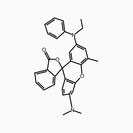 CCN(c1ccccc1)c1cc(C)c2c(c1)C1(OC(=O)c3ccccc31)c1ccc(N(C)C)cc1O2